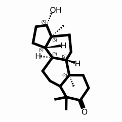 CC1(C)C(=O)CC[C@@]2(C)C1CC[C@H]1[C@@H]3CC[C@H](O)[C@@]3(C)CC[C@@H]12